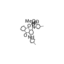 COS(=O)(=O)c1cc(C)ccc1Nc1ccc(Nc2ccc(C)cc2)c2c1C(=O)c1ccccc1C2=O